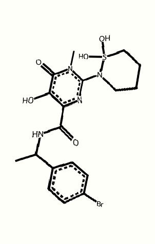 CC(NC(=O)c1nc(N2CCCCS2(O)O)n(C)c(=O)c1O)c1ccc(Br)cc1